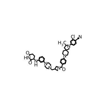 CC1CC2(CCN(c3ccc(C(=O)N4CC(CN5CCN(c6cccc(NC7CCC(=O)NC7=O)c6)CC5)C4)cc3)CC2)CN1c1ccc(C#N)c(Cl)c1